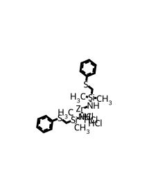 C[Si](C)(CSc1ccccc1)[NH][Zr][NH][Si](C)(C)CSc1ccccc1.Cl.Cl.Cl